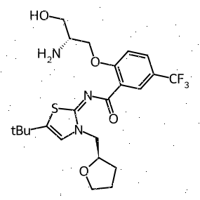 CC(C)(C)c1cn(C[C@H]2CCCO2)c(=NC(=O)c2cc(C(F)(F)F)ccc2OC[C@H](N)CO)s1